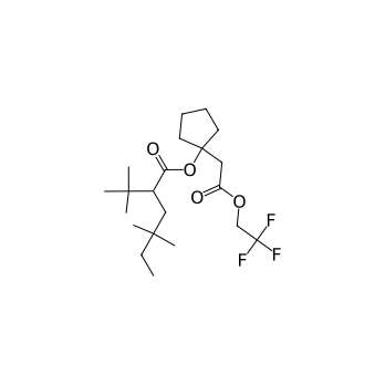 CCC(C)(C)CC(C(=O)OC1(CC(=O)OCC(F)(F)F)CCCC1)C(C)(C)C